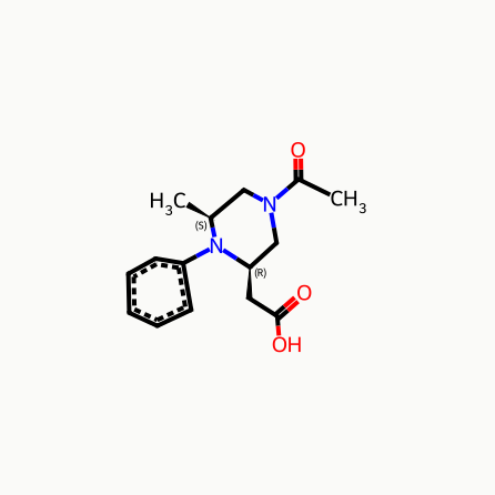 CC(=O)N1C[C@@H](CC(=O)O)N(c2ccccc2)[C@@H](C)C1